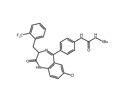 CC(C)(C)NC(=O)Nc1ccc(C2=NC(Cc3ccccc3C(F)(F)F)C(=O)Nc3ccc(Cl)cc32)cc1